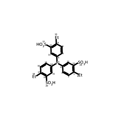 CCc1ccc(P(c2ccc(CC)c(S(=O)(=O)O)c2)c2ccc(CC)c(S(=O)(=O)O)c2)cc1S(=O)(=O)O